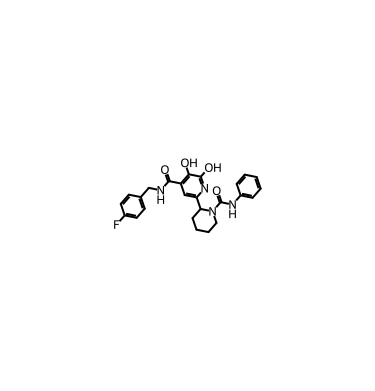 O=C(NCc1ccc(F)cc1)c1cc(C2CCCCN2C(=O)Nc2ccccc2)nc(O)c1O